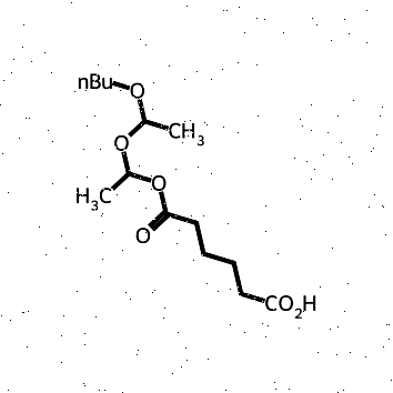 CCCCOC(C)OC(C)OC(=O)CCCCC(=O)O